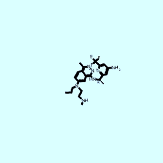 CCCN(CCNC)c1ccc2c(C)nnc(N[C@H](C)c3cc(N)cc(C(F)(F)F)n3)c2c1